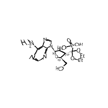 CCOC(OCC)([C@H]1C[C@H](n2cnc3c(N)ncnc32)O[C@@H]1CO)P(=O)(O)O